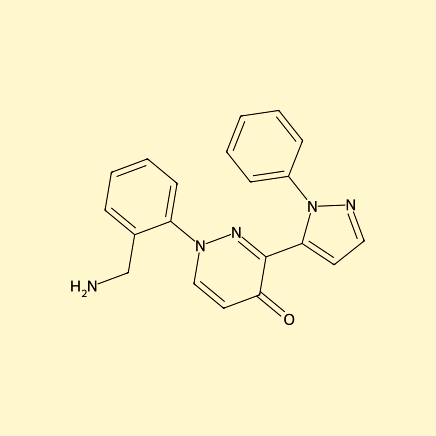 NCc1ccccc1-n1ccc(=O)c(-c2ccnn2-c2ccccc2)n1